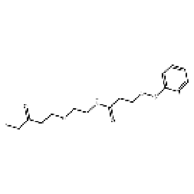 CCC(=O)CCOCCNC(=O)CCSSc1ccccn1